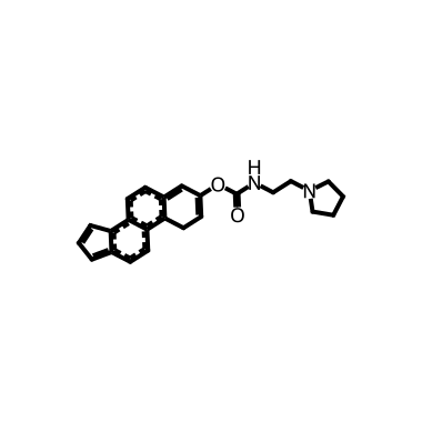 O=C(NCCN1CCCC1)OC1=CCc2c(ccc3c4c(ccc23)=CC=C4)=C1